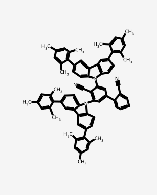 Cc1cc(C)c(-c2ccc3c(c2)c2cc(-c4c(C)cc(C)cc4C)ccc2n3-c2cc(-c3ccccc3C#N)cc(-n3c4ccc(-c5c(C)cc(C)cc5C)cc4c4cc(-c5c(C)cc(C)cc5C)ccc43)c2C#N)c(C)c1